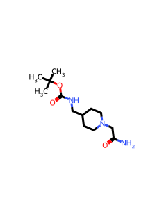 CC(C)(C)OC(=O)NCC1CCN(CC(N)=O)CC1